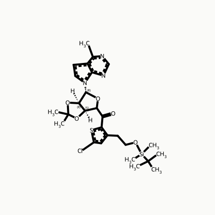 Cc1ncnc2c1ccn2[C@@H]1OC(C(=O)c2sc(Cl)cc2CCO[Si](C)(C)C(C)(C)C)[C@H]2OC(C)(C)O[C@H]21